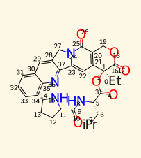 CC[C@@]1(OC(=O)[C@H](CC(C)C)NC(=O)[C@@H]2CCCN2)C(=O)OCc2c1cc1n(c2=O)Cc2cc3ccccc3nc2-1